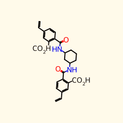 C=Cc1ccc(C(=O)NC2CCCC(NC(=O)c3ccc(C=C)cc3C(=O)O)C2)c(C(=O)O)c1